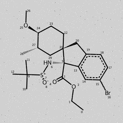 CCOC(=O)[C@]1(N[S@@+]([O-])C(C)(C)C)c2cc(Br)ccc2C[C@@]12CC[C@H](OC)[C@@H](C)C2